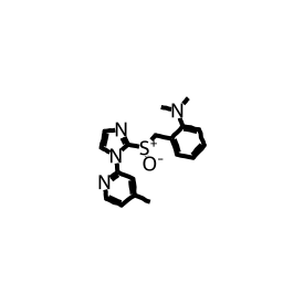 Cc1ccnc(-n2ccnc2[S+]([O-])Cc2ccccc2N(C)C)c1